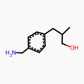 CC(CO)Cc1ccc(CN)cc1